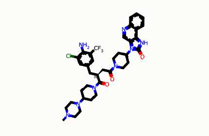 CN1CCN(C2CCN(C(=O)[C@H](CC(=O)N3CCC(n4c(=O)[nH]c5c6ccccc6ncc54)CC3)Cc3cc(Cl)c(N)c(C(F)(F)F)c3)CC2)CC1